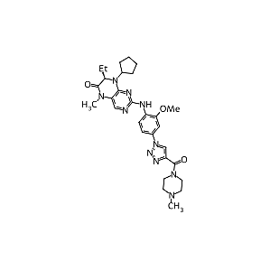 CC[C@@H]1C(=O)N(C)c2cnc(Nc3ccc(-n4cc(C(=O)N5CCN(C)CC5)nn4)cc3OC)nc2N1C1CCCC1